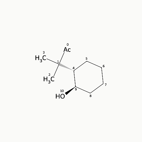 CC(=O)C(C)(C)[C@@H]1CCCC[C@H]1O